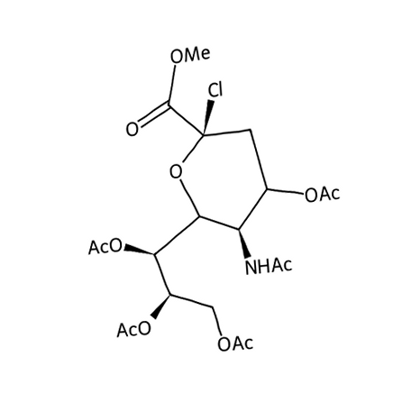 COC(=O)[C@]1(Cl)CC(OC(C)=O)[C@@H](NC(C)=O)C([C@H](OC(C)=O)[C@@H](COC(C)=O)OC(C)=O)O1